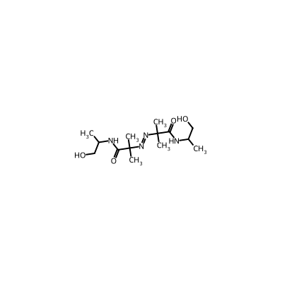 CC(CO)NC(=O)C(C)(C)N=NC(C)(C)C(=O)NC(C)CO